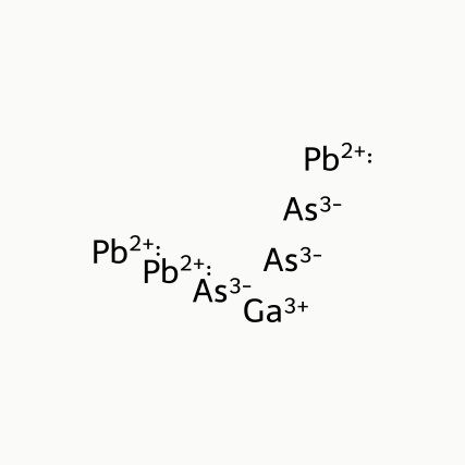 [As-3].[As-3].[As-3].[Ga+3].[Pb+2].[Pb+2].[Pb+2]